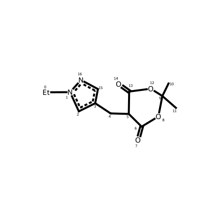 CCn1cc(CC2C(=O)OC(C)(C)OC2=O)cn1